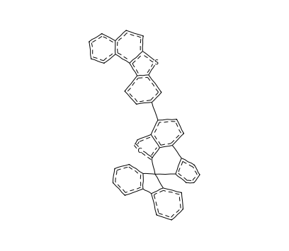 c1ccc2c(c1)-c1ccccc1C21c2ccccc2-c2ccc(-c3ccc4c(c3)sc3ccc5ccccc5c34)c3cccc1c23